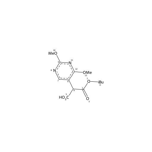 CCC(C)OC(=O)C(C(=O)O)c1cnc(OC)nc1OC